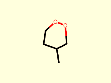 CC1CCOOC1